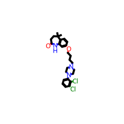 CC1(C)CCC(=O)Nc2cc(OCCCCN3CCN(c4cccc(Cl)c4Cl)CC3)ccc21